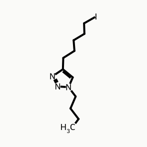 CCCCn1cc(CCCCCI)nn1